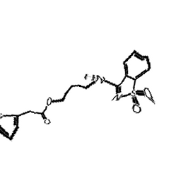 O=C(Cc1cccs1)OCCCNC1=NS(=O)(=O)c2ccccc21